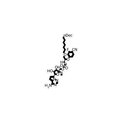 C=N[C@]1(COP(=O)(O)OC[C@@H](COCCCCCCCCCCCCCCCCC)Oc2ccc(C#N)c(F)c2)O[C@@H](c2ccc3c(N)ncnn23)[C@H](O)[C@@H]1O